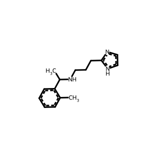 Cc1ccccc1C(C)NCCCc1ncc[nH]1